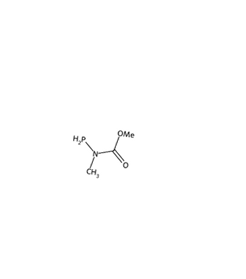 COC(=O)N(C)P